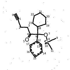 C#CCCC(=O)C(O[Si](C)(C)C)(c1ccccc1)C1CCCCC1